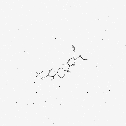 CCOc1nc(NC2CCC(NC(=O)OC(C)(C)C)CC2)c(I)cc1C#N